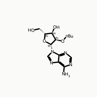 CCCCO[C@@H]1[C@H](O)[C@@H](CO)O[C@H]1n1cnc2c(N)ncnc21